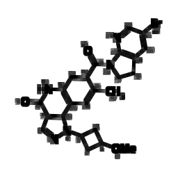 COC1CC(n2ncc3c(=O)[nH]c4cc(C(=O)N5CCc6cc(Br)cnc65)c(C)cc4c32)C1